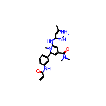 C=CC(=O)Nc1cccc(C2C=C(C(=O)N(C)C)C=C(NC(/C=C(/C)N)NC)N2C)c1